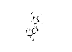 NC1=NC=NC2C1N=CN2[C@@H]1O[C@H](CO)C(O)[C@@H]1O